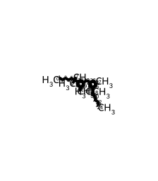 CCCCCCC(C)(C)c1[c]c(Cc2[c]c(C(C)(C)CCCCCC)cc(C)c2)cc(C)c1